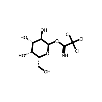 N=C(OC1O[C@H](CO)[C@H](O)[C@H](O)[C@H]1O)C(Cl)(Cl)Cl